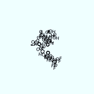 C#CCN1C(=O)COc2cc(F)c(N3C(=O)C4=C(CCCC4)C3=O)cc21.COc1cc(OC)nc(NC(=O)NS(=O)(=O)c2ncccc2C(=O)N(C)C)n1.CP(=O)(O)CCC(N)C(=O)O.O=C(Nc1nc(OC(F)F)cc(OC(F)F)n1)NS(=O)(=O)c1ccccc1C(=O)O